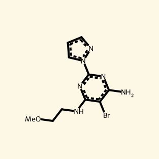 COCCNc1nc(-n2cccn2)nc(N)c1Br